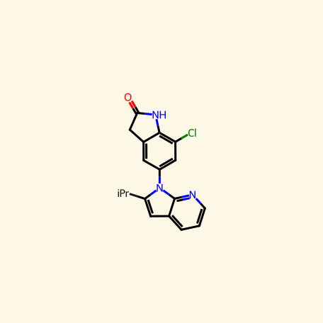 CC(C)c1cc2cccnc2n1-c1cc(Cl)c2c(c1)CC(=O)N2